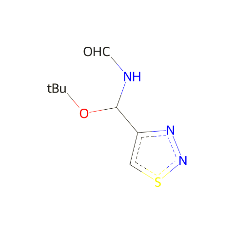 CC(C)(C)OC(NC=O)c1csnn1